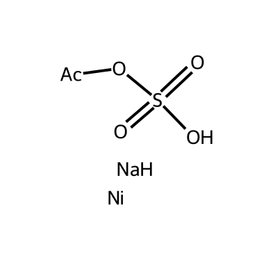 CC(=O)OS(=O)(=O)O.[NaH].[Ni]